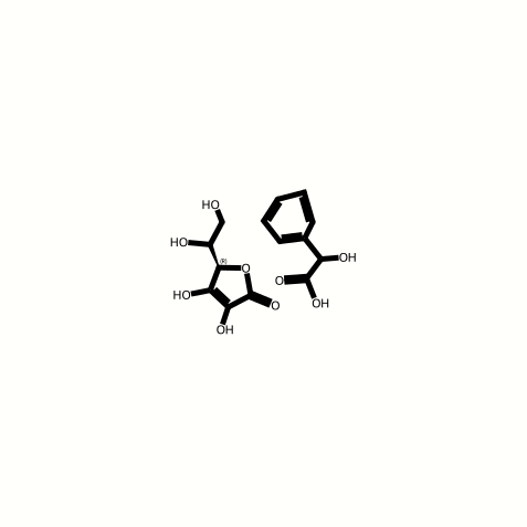 O=C(O)C(O)c1ccccc1.O=C1O[C@H](C(O)CO)C(O)=C1O